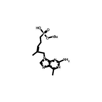 CCCCOP(=O)(O)CC/C=C(/C)Cn1cnc2c(C)nc(N)nc21